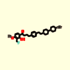 CCCC1CCC(C2CCC(CCc3ccc(CCCC(=O)c4ccc(OCC)c(CF)c4O)cc3)CC2)CC1